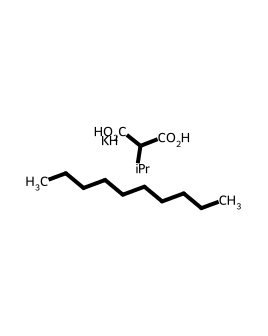 CC(C)C(C(=O)O)C(=O)O.CCCCCCCCCC.[KH]